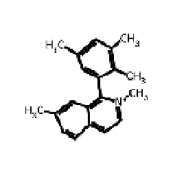 Cc1cc(C)c(C)c(-c2c3cc(C)ccc3cc[n+]2C)c1